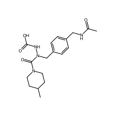 CC(=O)NCc1ccc(CN(NC(=O)O)C(=O)N2CCC(C)CC2)cc1